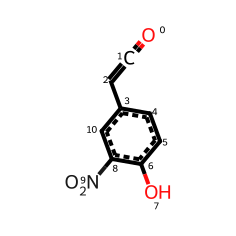 O=C=Cc1ccc(O)c([N+](=O)[O-])c1